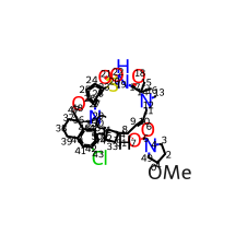 CO[C@@H]1CCN(C(=O)O[C@H]2/C=C/CN(C)C(C)(C)C(=O)NS(=O)(=O)c3ccc4c(c3)N(C[C@@H]3CC[C@H]32)C[C@@]2(CCCc3cc(Cl)ccc32)CO4)C1